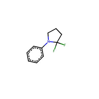 FC1(F)CCCN1c1ccccc1